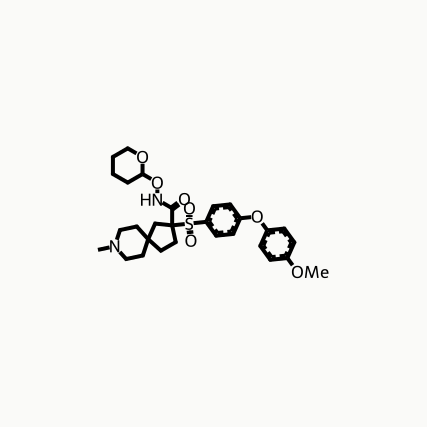 COc1ccc(Oc2ccc(S(=O)(=O)C3(C(=O)NOC4CCCCO4)CCC4(CCN(C)CC4)C3)cc2)cc1